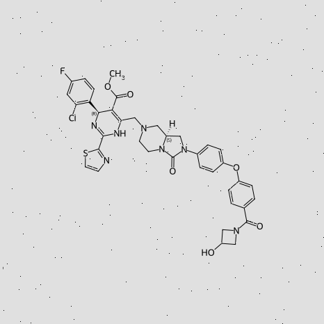 COC(=O)C1=C(CN2CCN3C(=O)N(c4ccc(Oc5ccc(C(=O)N6CC(O)C6)cc5)cc4)C[C@@H]3C2)NC(c2nccs2)=N[C@H]1c1ccc(F)cc1Cl